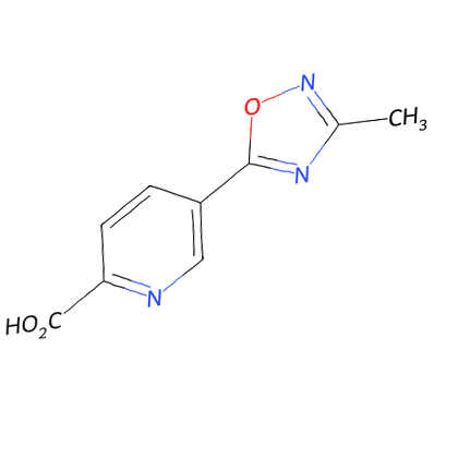 Cc1noc(-c2ccc(C(=O)O)nc2)n1